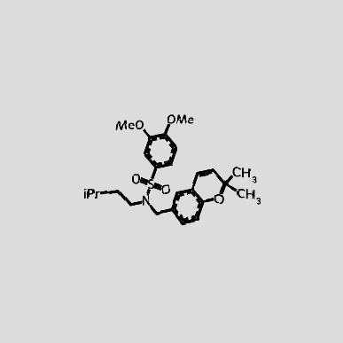 COc1ccc(S(=O)(=O)N(CCC(C)C)Cc2ccc3c(c2)C=CC(C)(C)O3)cc1OC